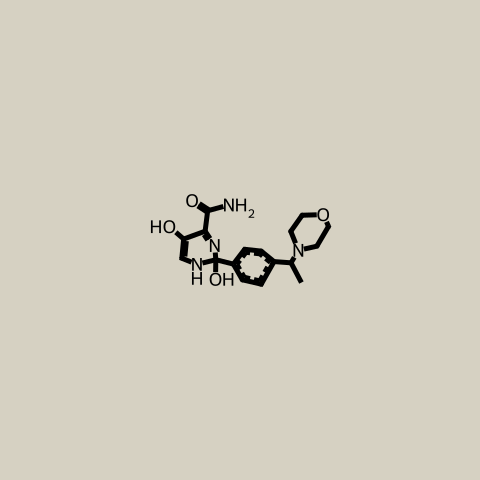 CC(c1ccc(C2(O)N=C(C(N)=O)C(O)=CN2)cc1)N1CCOCC1